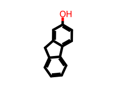 Oc1ccc2c(c1)Cc1ccccc1-2